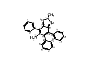 Cn1nc2c(-c3ccccc3)c(N)c(-c3ccccc3)c(-c3ccccc3)c2n1